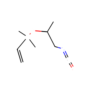 C=C[Si](C)(C)OC(C)CN=C=O